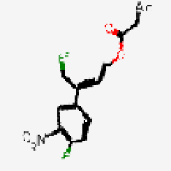 CC(=O)CC(=O)OCC=C(CF)c1ccc(F)c([N+](=O)[O-])c1